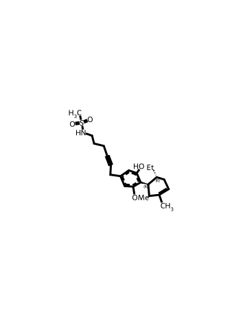 CC[C@@H]1CC=C(C)C[C@H]1c1c(O)cc(CC#CCCCNS(C)(=O)=O)cc1OC